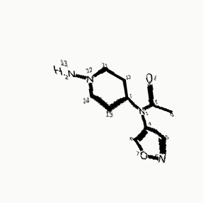 CC(=O)N(c1cnoc1)C1CCN(N)CC1